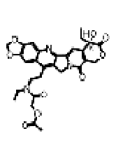 CCN(CCc1c2c(nc3cc4c(cc13)OCO4)-c1cc3c(c(=O)n1C2)COC(=O)[C@]3(O)CC)C(=O)COC(C)=O